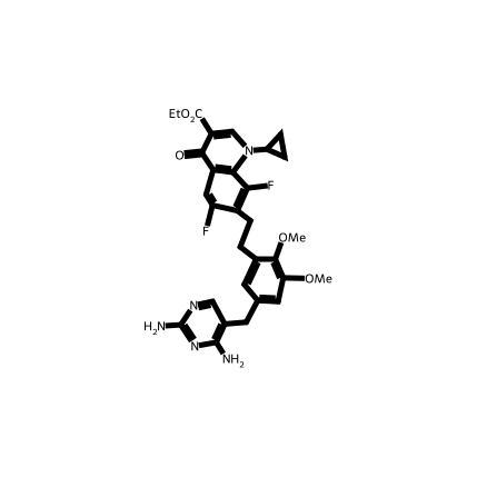 CCOC(=O)c1cn(C2CC2)c2c(F)c(CCc3cc(Cc4cnc(N)nc4N)cc(OC)c3OC)c(F)cc2c1=O